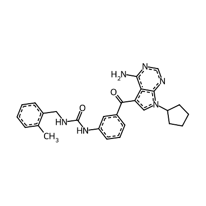 Cc1ccccc1CNC(=O)Nc1cccc(C(=O)c2cn(C3CCCC3)c3ncnc(N)c23)c1